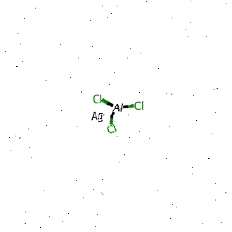 [Ag].[Cl][Al]([Cl])[Cl]